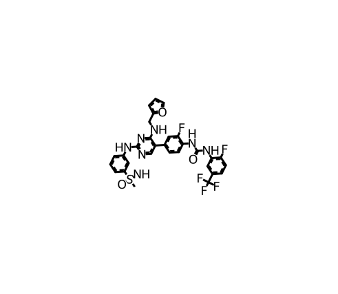 CS(=N)(=O)c1cccc(Nc2ncc(-c3ccc(NC(=O)Nc4cc(C(F)(F)F)ccc4F)c(F)c3)c(NCc3ccco3)n2)c1